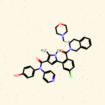 Cc1c(C(=O)N(c2ccncc2)c2ccc(O)cc2)cc(-c2cc(Cl)ccc2C(=O)N2Cc3ccccc3C[C@H]2CN2CCOCC2)n1C